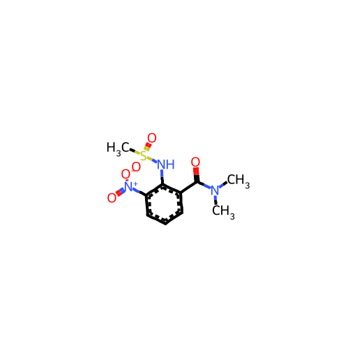 CN(C)C(=O)c1cccc([N+](=O)[O-])c1NS(C)(=O)=O